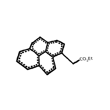 CCOC(=O)Cc1ccc2ccc3cccc4ccc1c2c34